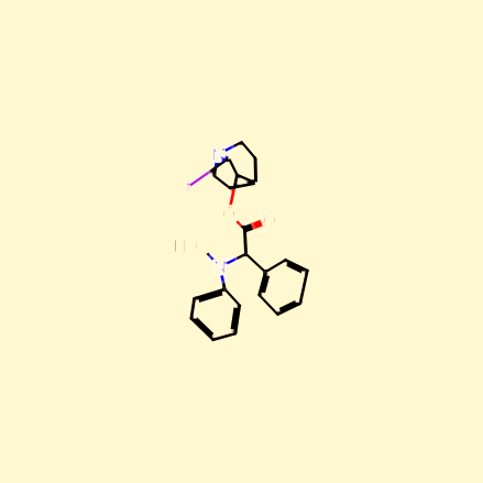 CN(c1ccccc1)C(C(=O)OC1C2CCN(CC2)C1I)c1ccccc1